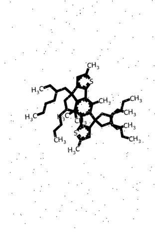 CCCCC(CC)CC1(CC(CC)CCCC)c2cc(C)sc2-c2c(C)c3c(c(C)c21)-c1sc(C)cc1C3(CC(CC)CCCC)CC(CC)CCCC